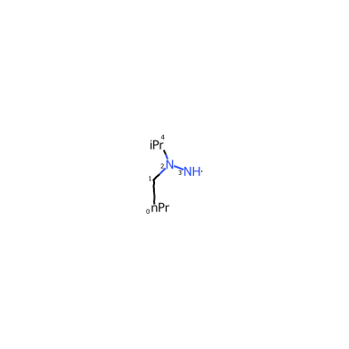 CCCCN([NH])C(C)C